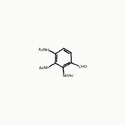 CC(=O)Nc1ccc(C=O)c(NC(C)=O)c1NC(C)=O